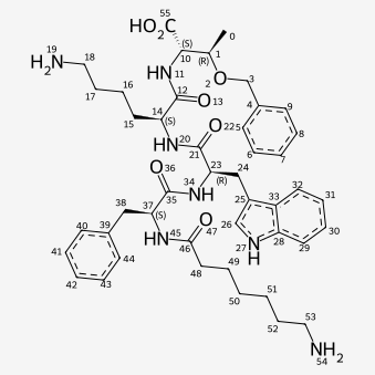 C[C@@H](OCc1ccccc1)[C@H](NC(=O)[C@H](CCCCN)NC(=O)[C@@H](Cc1c[nH]c2ccccc12)NC(=O)[C@H](Cc1ccccc1)NC(=O)CCCCCCN)C(=O)O